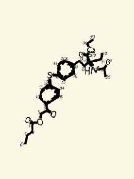 CCCC(=O)OCC(=O)c1ccc(Sc2ccc(CCC(CC)(NC(C)=O)C(=O)OCC)cc2)cc1